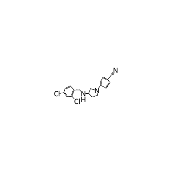 N#Cc1ccc(N2CCC(NCc3ccc(Cl)cc3Cl)C2)cc1